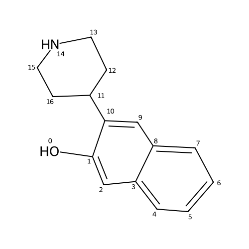 Oc1cc2ccccc2cc1C1CCNCC1